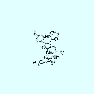 CCS(=O)(=O)Nc1nc2oc(-c3ccc(F)cc3)c(C(=O)NC)c2cc1C1CC1